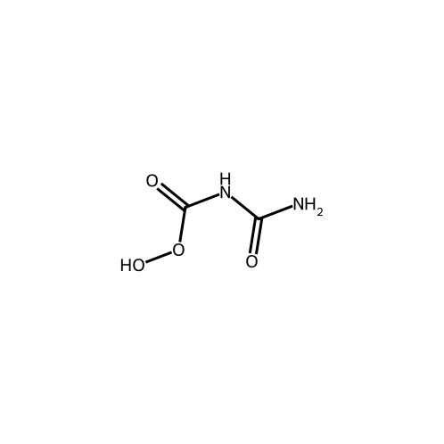 NC(=O)NC(=O)OO